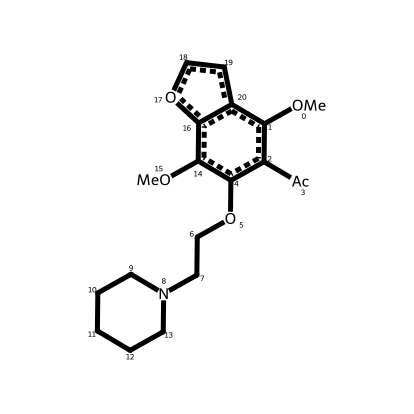 COc1c(C(C)=O)c(OCCN2CCCCC2)c(OC)c2occc12